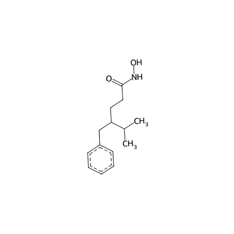 CC(C)C(CCC(=O)NO)Cc1ccccc1